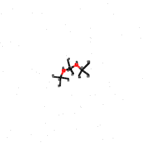 CC(C)(C)O[Si](C)(C)OC(C)(C)C